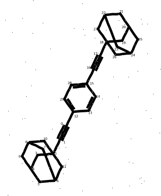 C(#CC12CC3CC(CC(C3)C1)C2)c1[c]cc(C#CC23CC4CC(CC(C4)C2)C3)cc1